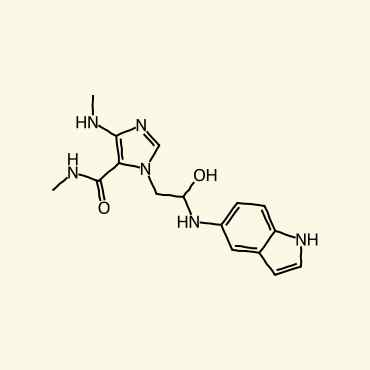 CNC(=O)c1c(NC)ncn1CC(O)Nc1ccc2[nH]ccc2c1